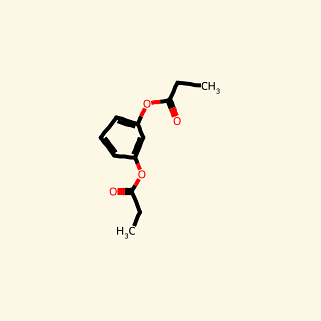 CCC(=O)Oc1cccc(OC(=O)CC)c1